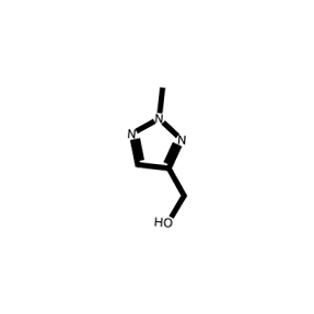 Cn1ncc(CO)n1